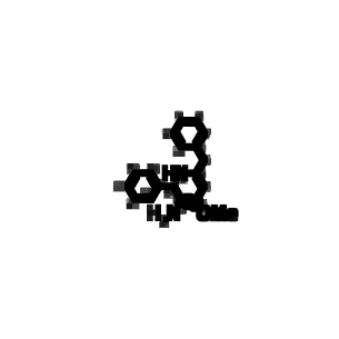 COC(=O)/C=C(/Cc1ccccc1)N[C@H](C(N)=O)c1ccccc1